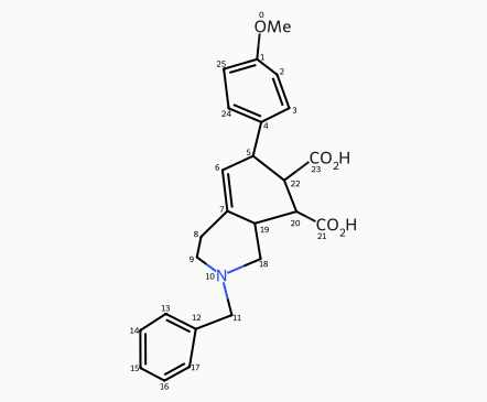 COc1ccc(C2C=C3CCN(Cc4ccccc4)CC3C(C(=O)O)C2C(=O)O)cc1